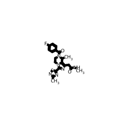 CNC(=O)Cc1nc(-c2nc(C)ns2)n2c1C(C)N(C(=O)c1ccc(F)cc1)CC2